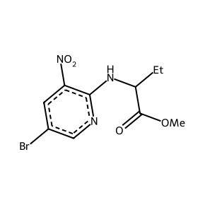 CCC(Nc1ncc(Br)cc1[N+](=O)[O-])C(=O)OC